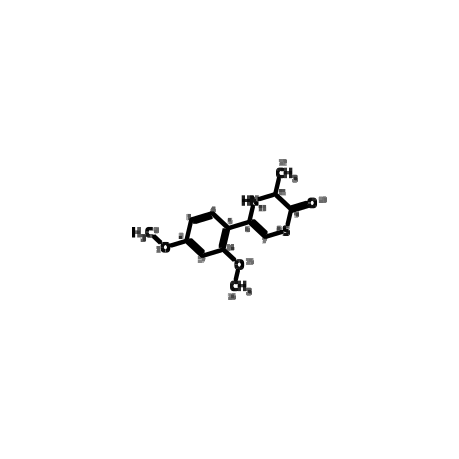 COc1ccc(C2=CSC(=O)C(C)N2)c(OC)c1